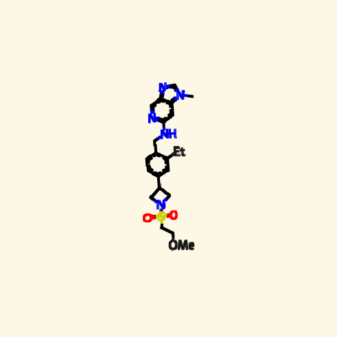 CCc1cc(C2CN(S(=O)(=O)CCOC)C2)ccc1CNc1cc2c(cn1)ncn2C